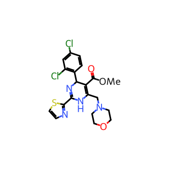 COC(=O)C1=C(CN2CCOCC2)NC(c2nccs2)=NC1c1ccc(Cl)cc1Cl